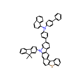 CC1(C)c2ccccc2-c2ccc(-n3c4cc(-c5ccc(N(c6ccc(-c7ccccc7)cc6)c6cccc7ccccc67)cc5)ccc4c4cc5c(ccc6sc7ccccc7c65)cc43)cc21